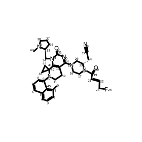 Cc1cccc2cccc(N3CCc4c(N5CCN(C(=O)/C=C/CF)[C@@H](CC#N)C5)nc(=O)n(C[C@@H]5CCCN5C)c4C34CC4)c12